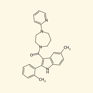 Cc1ccc2[nH]c(-c3ccccc3C)c(C(=O)N3CCCN(c4ccccn4)CC3)c2c1